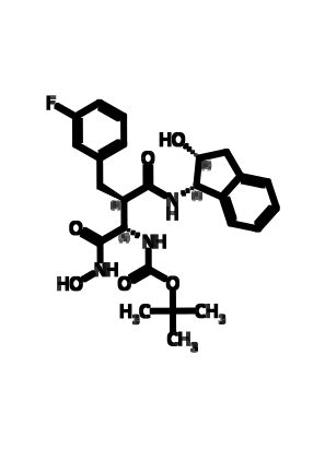 CC(C)(C)OC(=O)N[C@H](C(=O)NO)[C@@H](Cc1cccc(F)c1)C(=O)N[C@H]1c2ccccc2C[C@H]1O